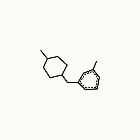 Cc1cccc(CC2CCC(C)CC2)c1